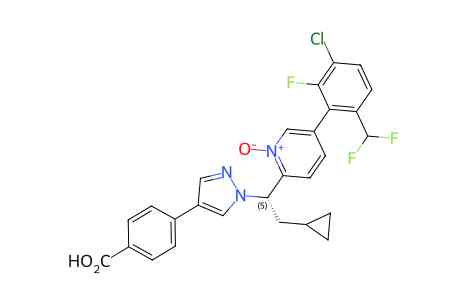 O=C(O)c1ccc(-c2cnn([C@@H](CC3CC3)c3ccc(-c4c(C(F)F)ccc(Cl)c4F)c[n+]3[O-])c2)cc1